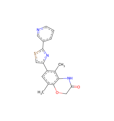 Cc1cc(-c2csc(-c3cccnc3)n2)c(C)c2c1OCC(=O)N2